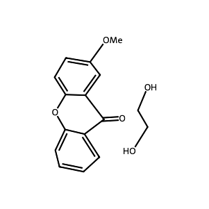 COc1ccc2oc3ccccc3c(=O)c2c1.OCCO